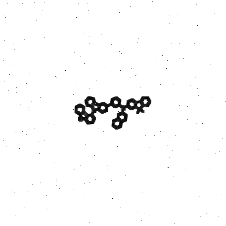 CC1(C)c2ccccc2-c2ccc(N(c3cccc(-c4ccc5c(c4)c4ccccc4n5-c4cccc5oc6ccccc6c45)c3)c3ccc4ccccc4c3)cc21